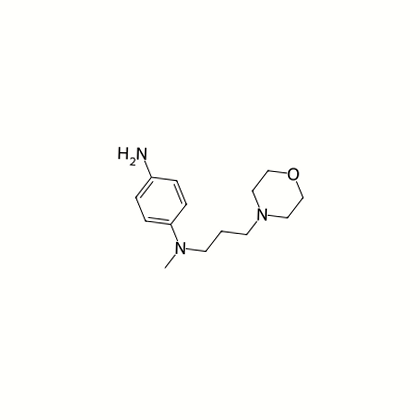 CN(CCCN1CCOCC1)c1ccc(N)cc1